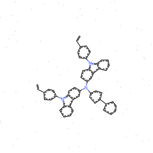 C=Cc1ccc(-n2c3ccccc3c3cc(N(c4ccc(-c5ccccc5)cc4)c4ccc5c(c4)c4ccccc4n5-c4ccc(C=C)cc4)ccc32)cc1